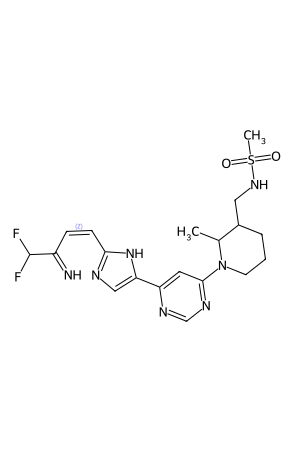 CC1C(CNS(C)(=O)=O)CCCN1c1cc(-c2cnc(/C=C\C(=N)C(F)F)[nH]2)ncn1